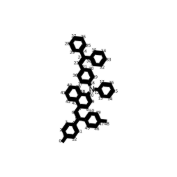 Cc1ccc(C(=Cc2ccc(N(c3ccccc3)c3ccc(C=C(c4ccccc4)c4ccccc4)cc3)c3ccccc23)c2ccc(C)cc2)cc1